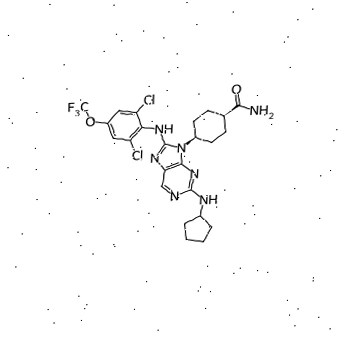 NC(=O)[C@H]1CC[C@@H](n2c(Nc3c(Cl)cc(OC(F)(F)F)cc3Cl)nc3cnc(NC4CCCC4)nc32)CC1